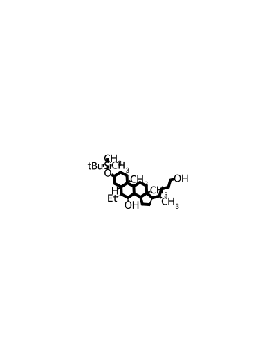 CC[C@H]1[C@@H](O)C2C3CC[C@H]([C@H](C)CCCO)[C@@]3(C)CCC2[C@@]2(C)CCC(O[Si](C)(C)C(C)(C)C)C[C@@H]12